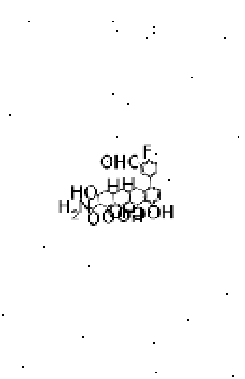 NC(=O)C1C(=O)[C@@]2(O)C(O)=C3C(=O)c4c(O)ccc(-c5ccc(F)c(C=O)c5)c4C[C@H]3C[C@H]2CC1O